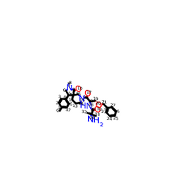 Cc1ccc(C2CN(C)C(=O)C23CCCN(C(=O)C(COCc2ccccc2)NC(=O)C(C)(C)N)C3)cc1